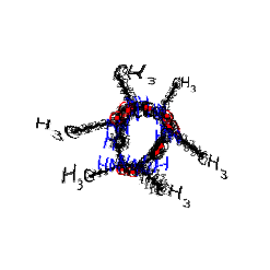 CCCCCCCCNC(=O)N1Cc2ccc(cc2)CN(C(=O)NCCCCCCCC)C2CCCCC2N(C(=O)NCCCCCCCC)Cc2ccc(cc2)CN(C(=O)NCCCCCCCC)C2CCCCC2N(C(=O)NCCCCCCCC)Cc2ccc(cc2)CN(C(=O)NCCCCCCCC)C2CCCCC21